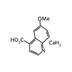 COc1ccc2nccc(C(=O)O)c2c1.[CaH2]